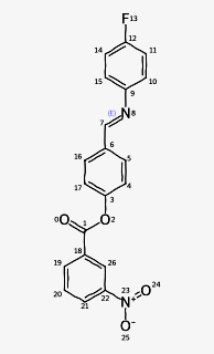 O=C(Oc1ccc(/C=N/c2ccc(F)cc2)cc1)c1cccc([N+](=O)[O-])c1